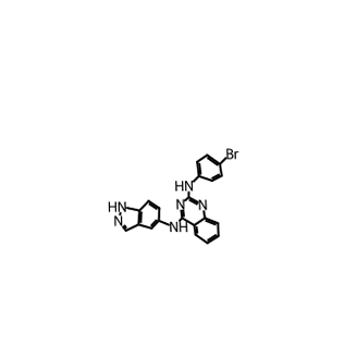 Brc1ccc(Nc2nc(Nc3ccc4[nH]ncc4c3)c3ccccc3n2)cc1